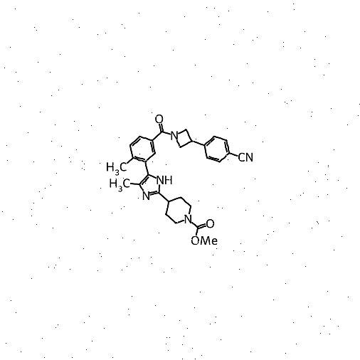 COC(=O)N1CCC(c2nc(C)c(-c3cc(C(=O)N4CC(c5ccc(C#N)cc5)C4)ccc3C)[nH]2)CC1